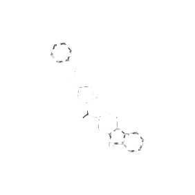 O=C([C@H]1C[C@@H](OCc2ccccc2)CN1)N1CCc2c([nH]c3ccccc23)C1